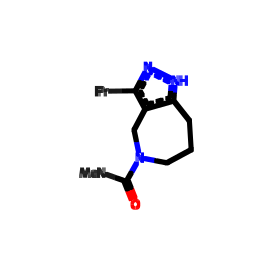 CNC(=O)N1CCCc2[nH]nc(C(C)C)c2C1